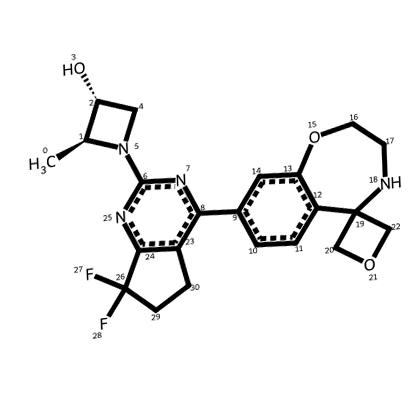 C[C@H]1[C@H](O)CN1c1nc(-c2ccc3c(c2)OCCNC32COC2)c2c(n1)C(F)(F)CC2